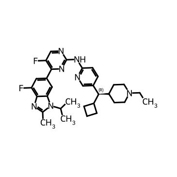 CCN1CCC([C@H](c2ccc(Nc3ncc(F)c(-c4cc(F)c5nc(C)n(C(C)C)c5c4)n3)nc2)C2CCC2)CC1